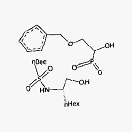 CCCCCCCCCCS(=O)(=O)N[C@H](CO)CCCCCC.O=P(=O)C(O)COCc1ccccc1